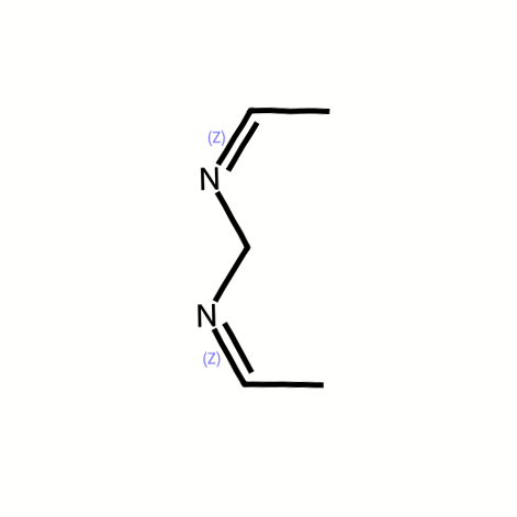 C/C=N\C/N=C\C